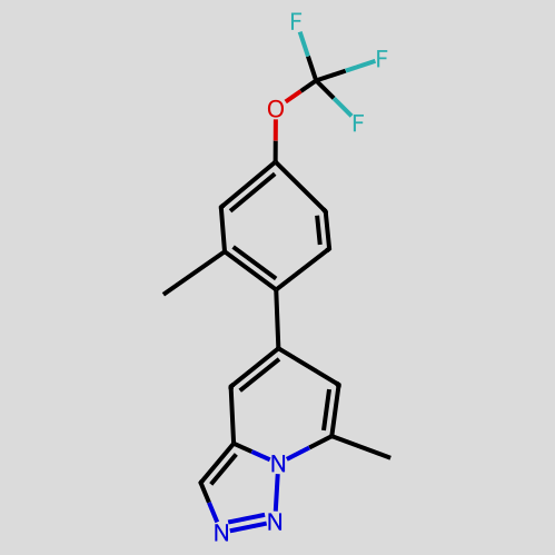 Cc1cc(OC(F)(F)F)ccc1-c1cc(C)n2nncc2c1